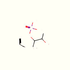 C=CC(=O)O.CCCCCC(OP(=O)(O)O)C(C)O